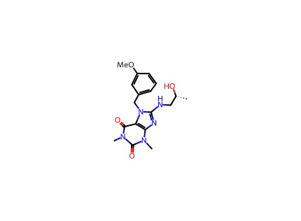 COc1cccc(Cn2c(NC[C@@H](C)O)nc3c2c(=O)n(C)c(=O)n3C)c1